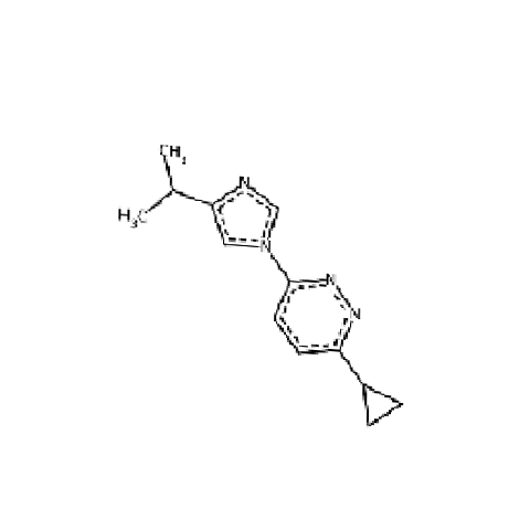 CC(C)c1cn(-c2ccc(C3CC3)nn2)cn1